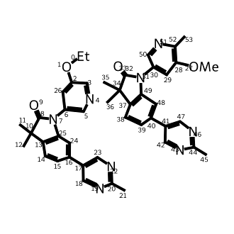 CCOc1cncc(N2C(=O)C(C)(C)c3ccc(-c4cnc(C)nc4)cc32)c1.COc1cc(N2C(=O)C(C)(C)c3ccc(-c4cnc(C)nc4)cc32)cnc1C